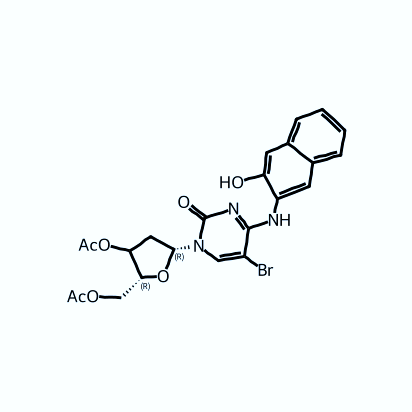 CC(=O)OC[C@H]1O[C@@H](n2cc(Br)c(Nc3cc4ccccc4cc3O)nc2=O)CC1OC(C)=O